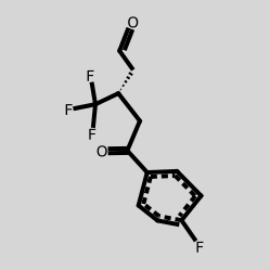 O=CC[C@H](CC(=O)c1ccc(F)cc1)C(F)(F)F